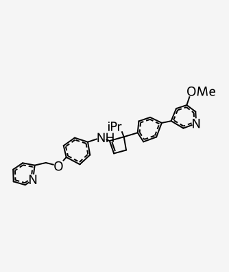 COc1cncc(-c2ccc(C3(C(C)C)CC=C3Nc3ccc(OCc4ccccn4)cc3)cc2)c1